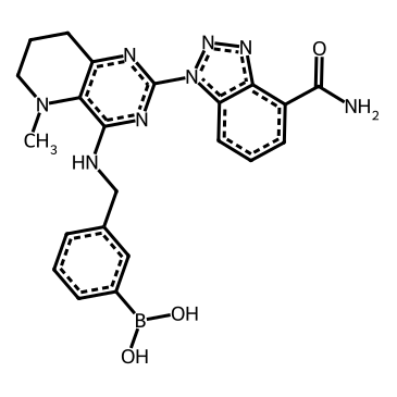 CN1CCCc2nc(-n3nnc4c(C(N)=O)cccc43)nc(NCc3cccc(B(O)O)c3)c21